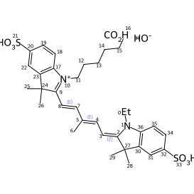 CCN1\C(=C/C=C(C)/C=C/C2=[N+](CCCCCC(=O)O)c3ccc(S(=O)(=O)O)cc3C2(C)C)C(C)(C)c2cc(S(=O)(=O)O)ccc21.[OH-]